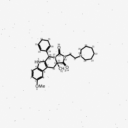 COc1ccc2[nH]c3c(c2c1)C[C@@]1(C)C(=O)N(CCN2CCCCCC2)C(=O)N1[C@@H]3C1=CCCC=C1